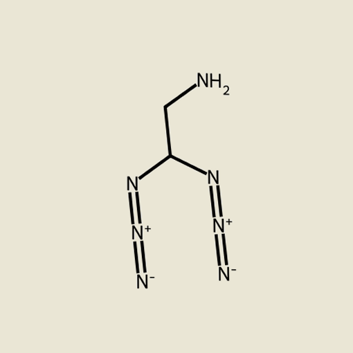 [N-]=[N+]=NC(CN)N=[N+]=[N-]